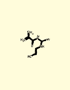 C=C(C)C(=O)NC(CCC)NCCC#N